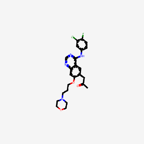 CC(=O)Cc1cc2c(Nc3ccc(F)c(Cl)c3)ncnc2cc1OCCCN1CCOCC1